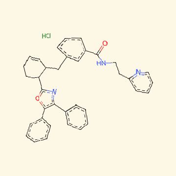 Cl.O=C(NCCc1ccccn1)c1cccc(CC2C=CCCC2c2nc(-c3ccccc3)c(-c3ccccc3)o2)c1